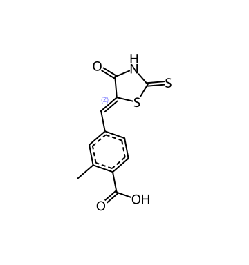 Cc1cc(/C=C2\SC(=S)NC2=O)ccc1C(=O)O